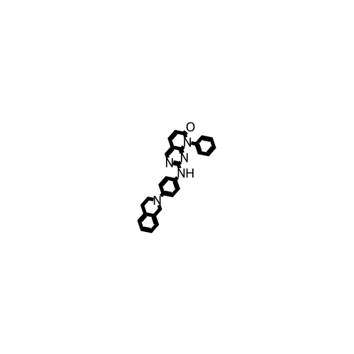 O=c1ccc2cnc(Nc3ccc(N4CCc5ccccc5C4)cc3)nc2n1-c1ccccc1